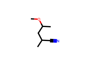 COC(C)CC(C)C#N